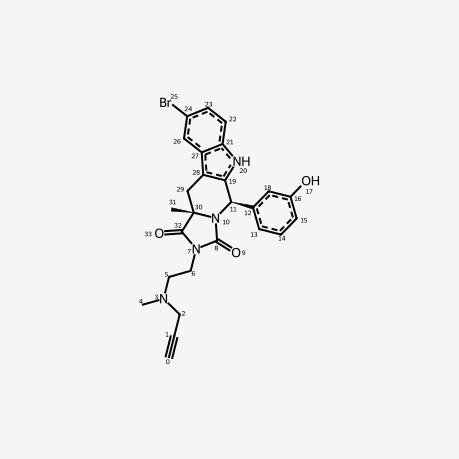 C#CCN(C)CCN1C(=O)N2[C@H](c3cccc(O)c3)c3[nH]c4ccc(Br)cc4c3C[C@@]2(C)C1=O